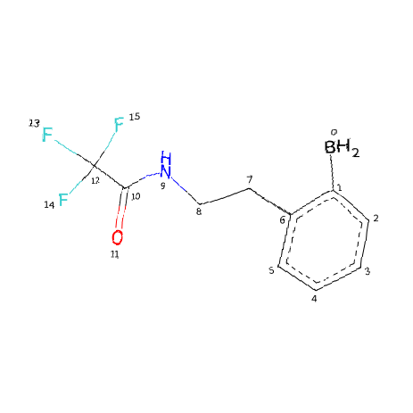 Bc1ccccc1CCNC(=O)C(F)(F)F